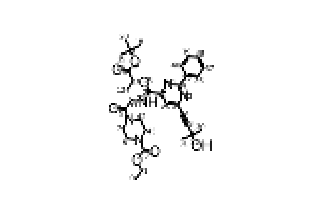 CCOC(=O)N1CCN(C(=O)[C@H](CCC(=O)OC(C)(C)C)NC(=O)c2cc(C#CC(C)(C)O)nc(-c3ccccc3)n2)CC1